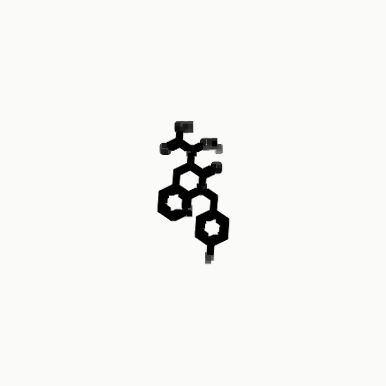 CN(C(=O)O)C1Cc2cccnc2N(Cc2ccc(F)cc2)C1=O